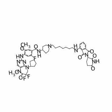 COc1cc(C(=O)NC2CCN(CCCCCCCNc3cccc4c3C(=O)N(C3CCC(=O)NC3=O)C4=O)CC2)c(F)cc1Nc1ncc2c(n1)N(C1CCCC1)CC(F)(F)C(=O)N2C